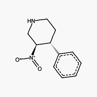 O=[N+]([O-])[C@H]1CNCC[C@@H]1c1ccccc1